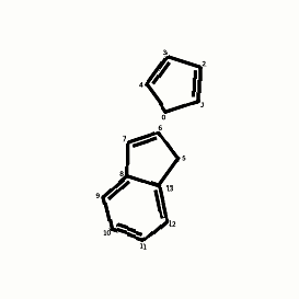 [CH]1C=CC=C1.[CH]1C=Cc2ccccc21